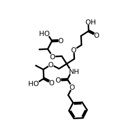 CC(OCC(COCCC(=O)O)(COC(C)C(=O)O)NC(=O)OCc1ccccc1)C(=O)O